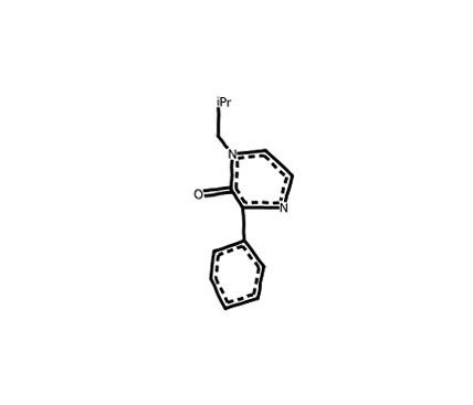 CC(C)Cn1ccnc(-c2ccccc2)c1=O